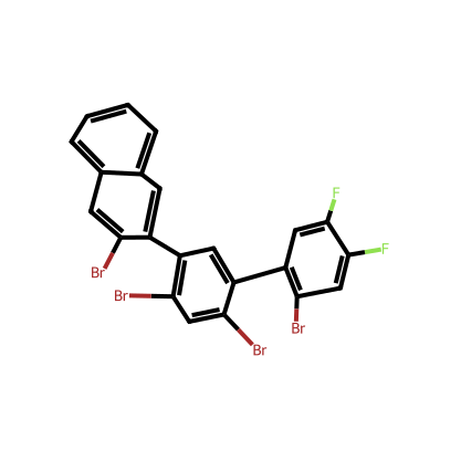 Fc1cc(Br)c(-c2cc(-c3cc4ccccc4cc3Br)c(Br)cc2Br)cc1F